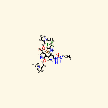 CCNC(=O)Nc1cc(-c2nc(C(F)(F)F)cs2)c(-c2cc(C(=O)OCCC3CCCN3C)cnc2OCCC2CCCN2C)cn1